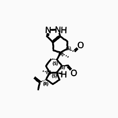 C=C(C)[C@H]1CC[C@H]2[C@H](C=O)[C@@H]([C@@]3(C)Cc4cn[nH]c4C[C@@H]3C=O)CC[C@]12C